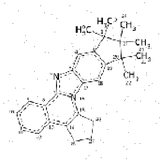 CC1(C)c2cc3nc4c5ccccc5c5c(n4c3cc2C(C)(C)C1(C)C)CCC5